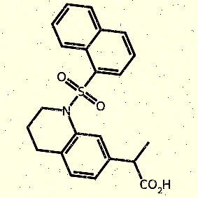 CC(C(=O)O)c1ccc2c(c1)N(S(=O)(=O)c1cccc3ccccc13)CCC2